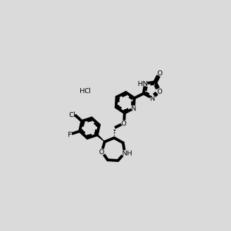 Cl.O=c1[nH]c(-c2cccc(OC[C@@H]3CNCCO[C@H]3c3ccc(Cl)c(F)c3)n2)no1